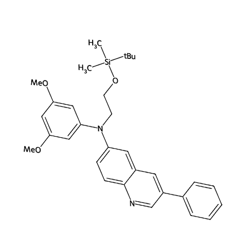 COc1cc(OC)cc(N(CCO[Si](C)(C)C(C)(C)C)c2ccc3ncc(-c4ccccc4)cc3c2)c1